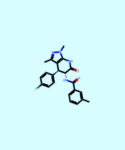 Cc1cccc(C(=O)N[C@H]2C(=O)Nc3c(c(C)nn3C)[C@@H]2c2ccc(F)cc2)c1